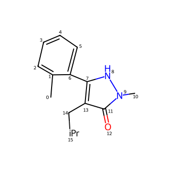 Cc1ccccc1-c1[nH]n(C)c(=O)c1CC(C)C